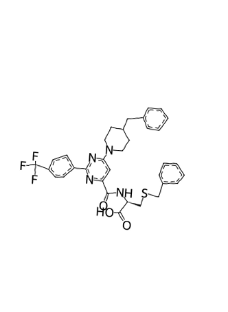 O=C(N[C@@H](CSCc1ccccc1)C(=O)O)c1cc(N2CCC(Cc3ccccc3)CC2)nc(-c2ccc(C(F)(F)F)cc2)n1